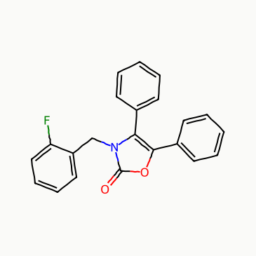 O=c1oc(-c2ccccc2)c(-c2ccccc2)n1Cc1ccccc1F